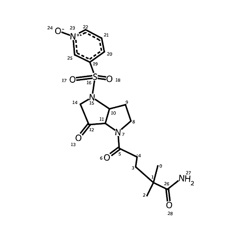 CC(C)(C[CH]C(=O)N1CCC2C1C(=O)CN2S(=O)(=O)c1ccc[n+]([O-])c1)C(N)=O